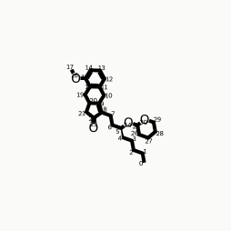 CCCCC[C@@H](CCC1=C2Cc3cccc(OC)c3CC2CC1=O)OC1CCCCO1